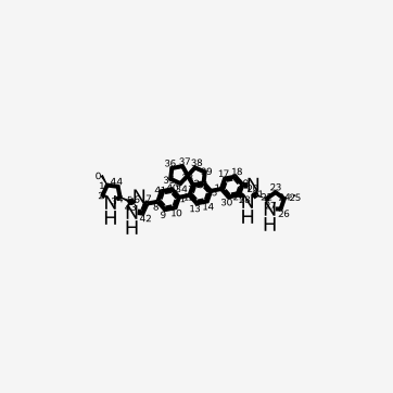 C[C@@H]1CN[C@H](c2nc(-c3ccc(-c4ccc(-c5ccc6nc([C@@H]7C[C@H](C)CN7)[nH]c6c5)c5c4C4(CCCC4)CC5)cc3)c[nH]2)C1